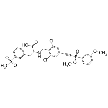 COc1cccc(P(=O)(C#Cc2cc(Cl)c(CNC(Cc3cccc(S(C)(=O)=O)c3)C(=O)O)c(Cl)c2)OC)c1